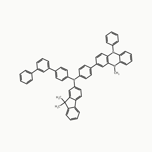 CN1c2ccccc2N(c2ccccc2)c2ccc(-c3ccc(N(c4ccc(-c5cccc(-c6ccccc6)c5)cc4)c4ccc5c(c4)C(C)(C)c4ccccc4-5)cc3)cc21